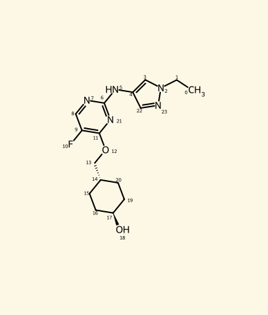 CCn1cc(Nc2ncc(F)c(OC[C@H]3CC[C@H](O)CC3)n2)cn1